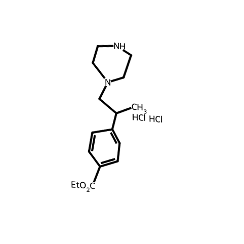 CCOC(=O)c1ccc(C(C)CN2CCNCC2)cc1.Cl.Cl